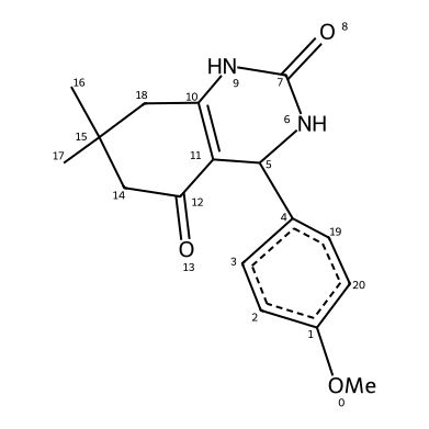 COc1ccc(C2NC(=O)NC3=C2C(=O)CC(C)(C)C3)cc1